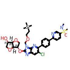 CN=S(C)(=O)c1ccc(-c2ccc(-c3nc4c(cc3Cl)nc(O[C@@H]3CO[C@H]5[C@@H]3OC[C@H]5O)n4COCC[Si](C)(C)C)cc2)nc1